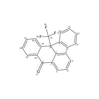 O=C1c2ccccc2C(c2ccccc2)(C(F)(F)F)c2ccccc21